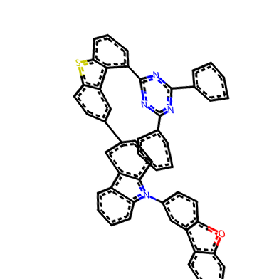 c1ccc(-c2nc(-c3ccccc3)nc(-c3cccc4sc5ccc(-c6ccc7c(c6)c6ccccc6n7-c6ccc7oc8ccccc8c7c6)cc5c34)n2)cc1